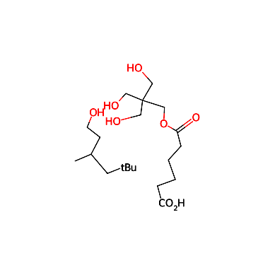 CC(CCO)CC(C)(C)C.O=C(O)CCCCC(=O)OCC(CO)(CO)CO